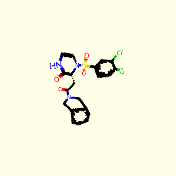 O=C1NC=CN(S(=O)(=O)c2ccc(Cl)c(Cl)c2)[C@@H]1CC(=O)N1Cc2ccccc2C1